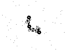 CC(=O)N(CCc1ccc(C(=O)N2CCN(c3nc4ccccc4c(=O)[nH]3)CC2)cc1)Cc1ccccc1